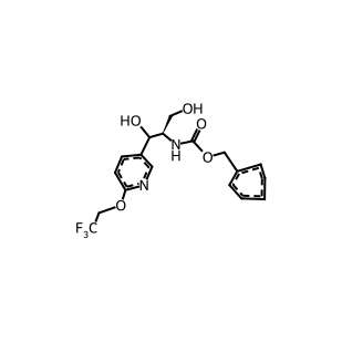 O=C(N[C@H](CO)C(O)c1ccc(OCC(F)(F)F)nc1)OCc1ccccc1